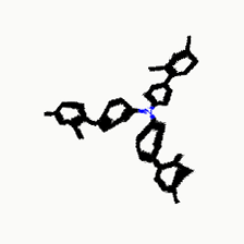 Cc1ccc(-c2ccc(N(c3ccc(-c4ccc(C)cc4C)cc3)c3ccc(-c4ccc(C)cc4C)cc3)cc2)c(C)c1